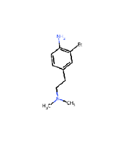 CCc1cc(CCN(C)C)ccc1N